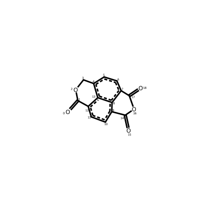 O=C1OCc2ccc3c4c(ccc1c24)C(=O)OC3=O